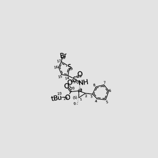 C[C@H]1C(c2ccccc2)[C@]1(NS(=O)(=O)c1ccc(Br)s1)C(=O)OC(C)(C)C